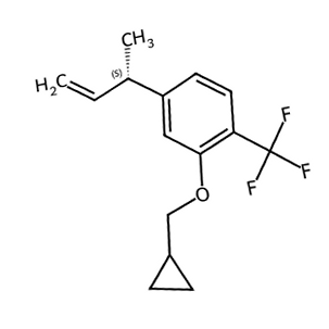 C=C[C@H](C)c1ccc(C(F)(F)F)c(OCC2CC2)c1